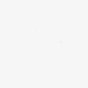 O=C(NCc1ccc(F)cc1)c1cn2c(c(O)c1=O)C(=O)N(CCP(=O)(O)O)CC2